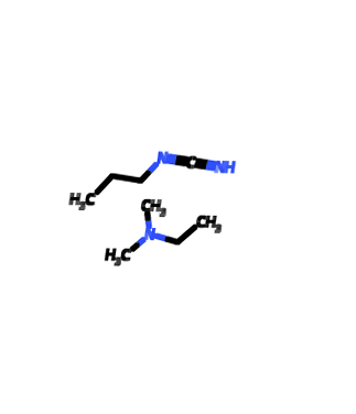 CCCN=C=N.CCN(C)C